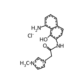 C[n+]1ccn(CC(=O)Nc2ccc3cccc(N)c3c2O)c1.[Cl-]